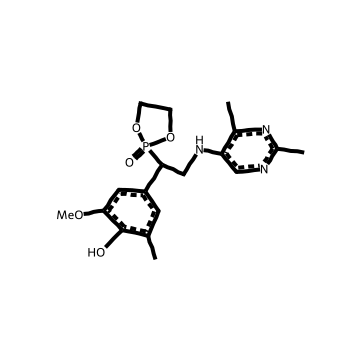 COc1cc(C(CNc2cnc(C)nc2C)P2(=O)OCCO2)cc(C)c1O